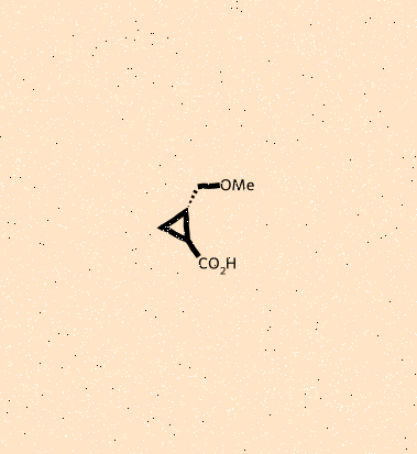 COC[C@H]1CC1C(=O)O